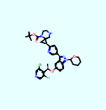 C[C@@H](Oc1ccc2c(c1)c(-c1ccc(C3CC34CNCCN4C(=O)OC(C)(C)C)nc1)nn2C1CCCCO1)c1c(Cl)cncc1Cl